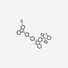 N#Cc1ccc2c(c1)c1ccccc1n2-c1ccc(-c2ccc(-c3nc4ccccc4c4c5c(ccc34)C3(c4ccccc4Sc4ccccc43)c3ccccc3-5)cc2)cc1